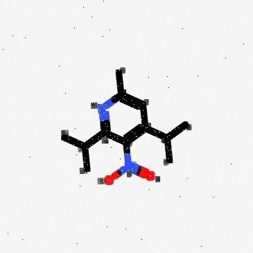 Cc1cc(C(C)C)c([N+](=O)[O-])c(C(C)C)n1